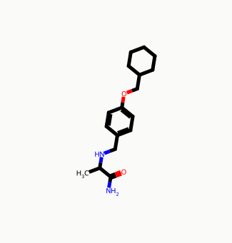 CC(NCc1ccc(OCC2CCCCC2)cc1)C(N)=O